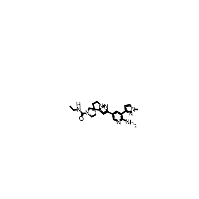 CCNC(=O)N1CC[C@@]2(CCn3nc(-c4cnc(N)c(-c5ccn(C)n5)c4)cc32)C1